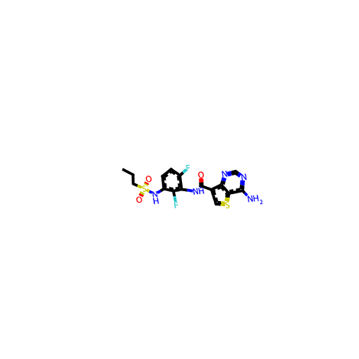 CCCS(=O)(=O)Nc1ccc(F)c(NC(=O)c2csc3c(N)ncnc23)c1F